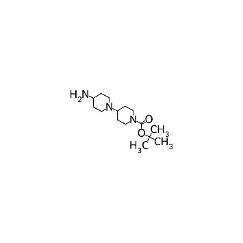 CC(C)(C)OC(=O)N1CCC(N2CCC(N)CC2)CC1